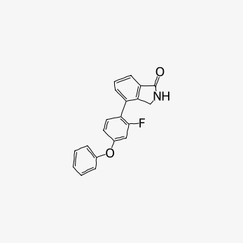 O=C1NCc2c1cccc2-c1ccc(Oc2ccccc2)cc1F